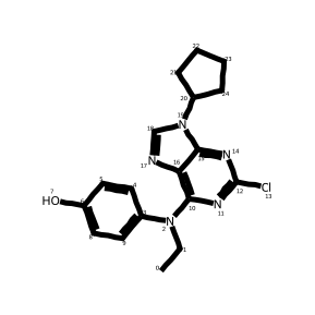 CCN(c1ccc(O)cc1)c1nc(Cl)nc2c1ncn2C1CCCC1